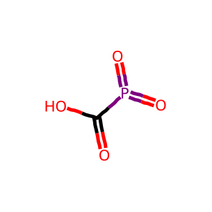 O=C(O)P(=O)=O